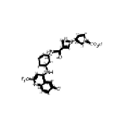 O=C(N[C@@H]1CCC[C@H](Nc2cc(C(F)(F)F)nc3ccc(Cl)cc23)C1)c1cnn([C@@H]2CCN(C(=O)O)C2)c1